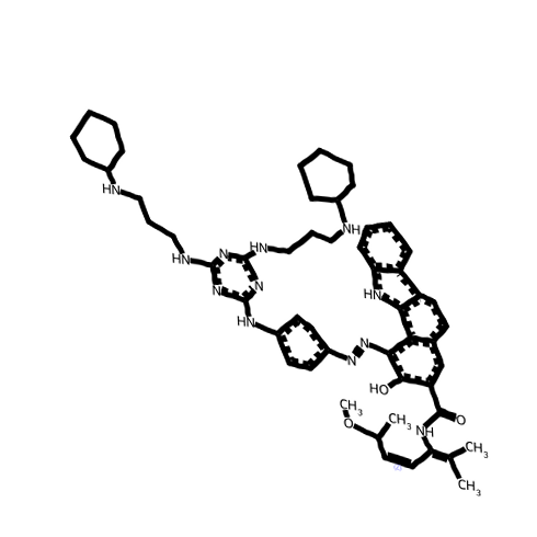 COC(C)/C=C\C(NC(=O)c1cc2ccc3c4ccccc4[nH]c3c2c(N=Nc2ccc(Nc3nc(NCCCNC4CCCCC4)nc(NCCCNC4CCCCC4)n3)cc2)c1O)=C(C)C